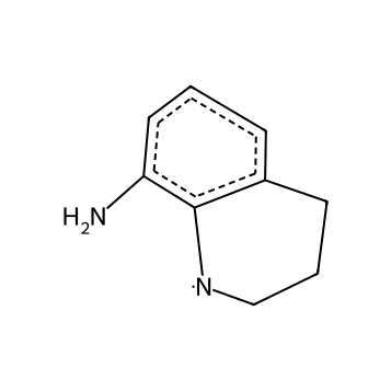 Nc1cccc2c1[N]CCC2